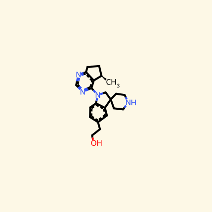 C[C@@H]1CCc2ncnc(N3CC4(CCNCC4)c4cc(CCO)ccc43)c21